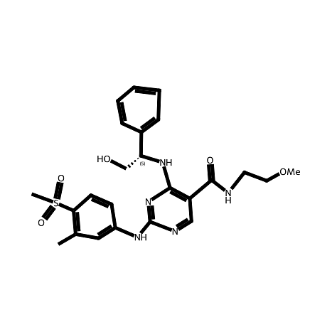 COCCNC(=O)c1cnc(Nc2ccc(S(C)(=O)=O)c(C)c2)nc1N[C@H](CO)c1ccccc1